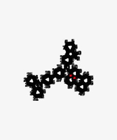 CC1(C)c2ccccc2-c2ccc(N(c3ccc(-c4ccc(-n5c6ccccc6c6ccccc65)cc4)cc3)c3ccc(-c4cccc5cccc(-c6ccccc6)c45)cc3)cc21